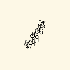 CC(F)(F)c1nc(N2CC[C@H](N3CCCC(Nc4cc(F)c(S(C)(=O)=O)cc4F)C3=O)CC2=O)no1